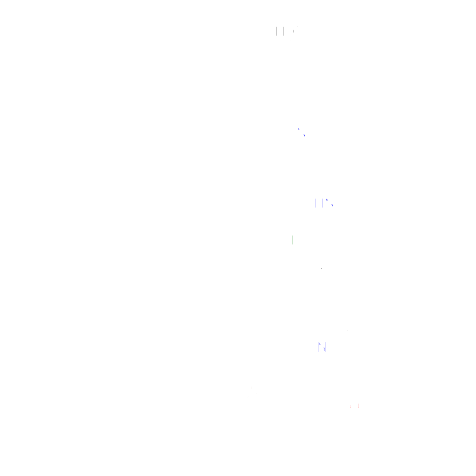 Cc1ccc(CNCC2(F)CCN(C(=O)c3ccc(-c4ccccc4)s3)CC2)nc1